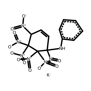 O=[N+]([O-])C1C=CC(Nc2ccccc2)([N+](=O)[O-])C([N+](=O)[O-])([N+](=O)[O-])C1([N+](=O)[O-])[N+](=O)[O-].[K]